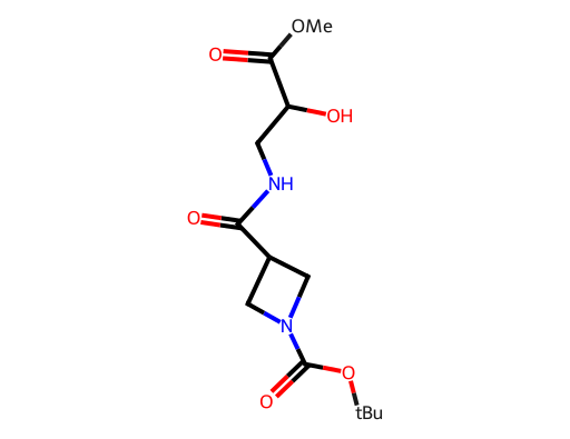 COC(=O)C(O)CNC(=O)C1CN(C(=O)OC(C)(C)C)C1